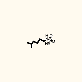 CC(C)CCCCNS(=O)(=O)S